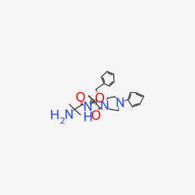 CC(C)(N)C(=O)N[C@](C)(OCc1ccccc1)C(=O)N1CCN(c2ccccc2)CC1